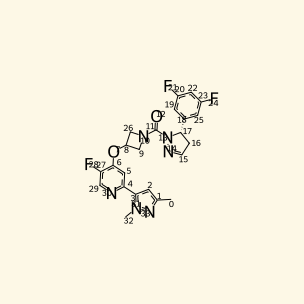 Cc1cc(-c2cc(OC3CN(C(=O)N4N=CC[C@H]4c4cc(F)cc(F)c4)C3)c(F)cn2)n(C)n1